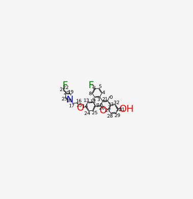 CC1=C(c2ccc(F)cc2)C(c2ccc(OCCN3CC(CF)C3)cc2)Oc2ccc(O)cc21